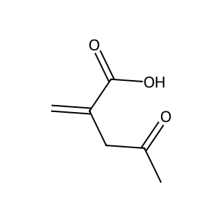 C=C(CC(C)=O)C(=O)O